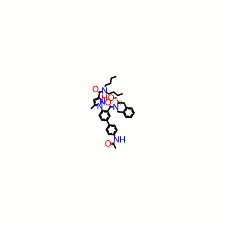 CCCCN(CCCC)C(=O)c1cc(C)n(-c2ccc(-c3ccc(NC(C)=O)cc3)cc2C(=O)N2Cc3ccccc3C[C@H]2CO)n1